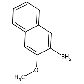 Bc1cc2ccccc2cc1OC